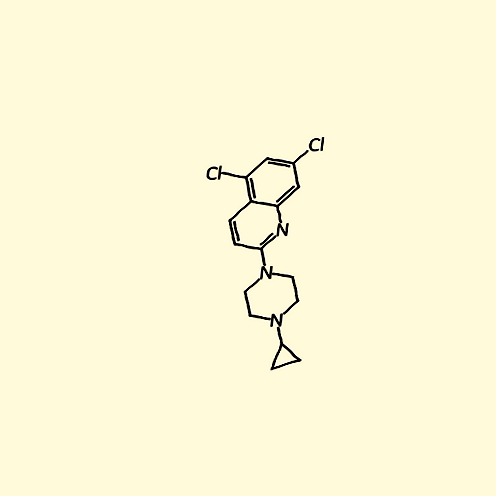 Clc1cc(Cl)c2ccc(N3CCN(C4CC4)CC3)nc2c1